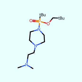 CN(C)CCN1CCN(P(=O)(OCC(C)(C)C)C(C)(C)C)CC1